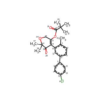 Cc1ccc(-c2ccc(Cl)cc2)cc1C1=C(OC(=O)C(C)(C)C)COC(C)(C)C1=O